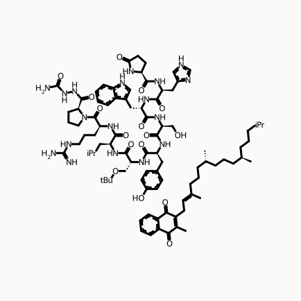 CC(C)C[C@H](NC(=O)[C@@H](COC(C)(C)C)NC(=O)[C@H](Cc1ccc(O)cc1)NC(=O)[C@H](CO)NC(=O)[C@H](Cc1c[nH]c2ccccc12)NC(=O)[C@H](Cc1c[nH]cn1)NC(=O)[C@@H]1CCC(=O)N1)C(=O)N[C@@H](CCCNC(=N)N)C(=O)N1CCC[C@H]1C(=O)NNC(N)=O.CC1=C(C/C=C(\C)CCC[C@H](C)CCC[C@H](C)CCCC(C)C)C(=O)c2ccccc2C1=O